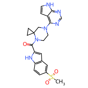 CS(=O)(=O)c1ccc2[nH]c(C(=O)N3CCN(c4ncnc5[nH]ccc45)CC34CC4)cc2c1